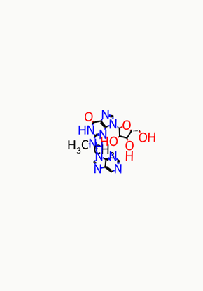 CN(C)c1nc2c(ncn2[C@@H]2O[C@H](CO)[C@@H](O)[C@H]2O)c(=O)[nH]1.c1ncc2nc[nH]c2n1